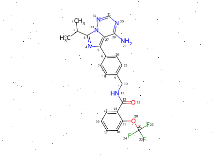 CC(C)c1nc(-c2ccc(CNC(=O)c3ccccc3OC(F)(F)F)cc2)c2c(N)ncnn12